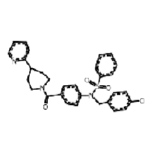 O=C(c1ccc(N(Cc2ccc(Cl)cc2)S(=O)(=O)c2ccccc2)cc1)N1CCC(c2ccccn2)CC1